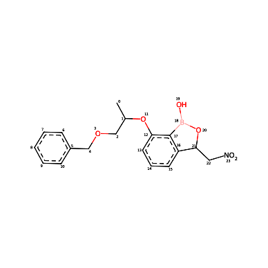 CC(COCc1ccccc1)Oc1cccc2c1B(O)OC2C[N+](=O)[O-]